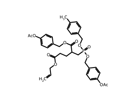 C=CCOC(=O)CCC(CP(=O)(OCc1ccc(C)cc1)OCc1ccc(OC(C)=O)cc1)C(=O)OCc1ccc(OC(C)=O)cc1